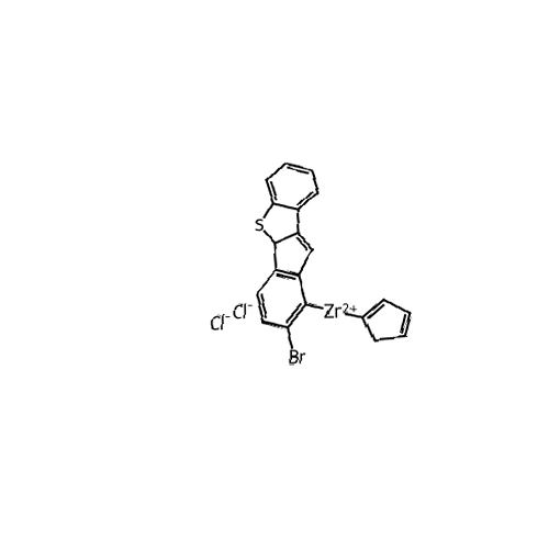 Brc1ccc2c([c]1[Zr+2][C]1=CC=CC1)C=C1c3ccccc3SC12.[Cl-].[Cl-]